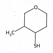 CC1COCCC1S